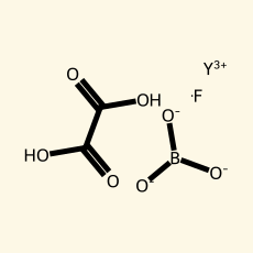 O=C(O)C(=O)O.[F].[O-]B([O-])[O-].[Y+3]